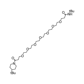 CC(C)(C)NC(=O)CCOCCOCCOCCOCCOCCOCCOCCC(=O)N1CCC(C(C)(C)C)CC1